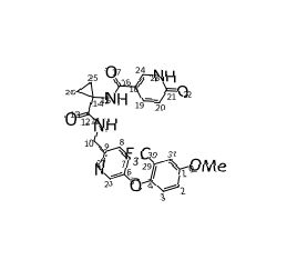 COc1ccc(Oc2ccc(CNC(=O)C3(NC(=O)c4ccc(=O)[nH]c4)CC3)nc2)c(C(F)(F)F)c1